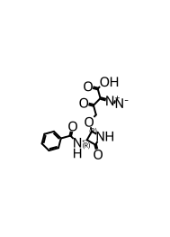 [N-]=[N+]=C(C(=O)O)C(=O)CO[C@H]1NC(=O)[C@@H]1NC(=O)c1ccccc1